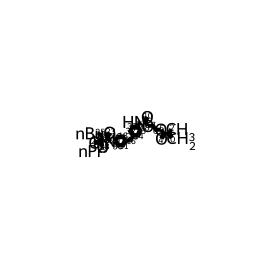 C=C(C)C(=O)OCCOC(=O)Nc1ccc(Cc2ccc(NC(=O)N(CCCC)C(=O)OCCC)cc2)cc1